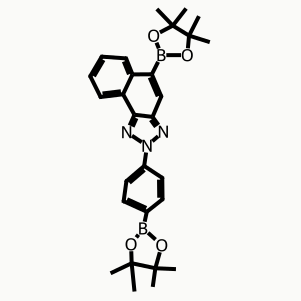 CC1(C)OB(c2ccc(-n3nc4cc(B5OC(C)(C)C(C)(C)O5)c5ccccc5c4n3)cc2)OC1(C)C